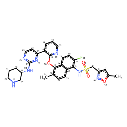 Cc1cc(CS(=O)(=O)Nc2c(F)ccc3c(Oc4ncccc4-c4ccnc(N[C@H]5CCCNC5)n4)c(C)ccc23)no1